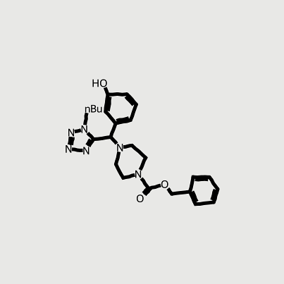 CCCCn1nnnc1C(c1cccc(O)c1)N1CCN(C(=O)OCc2ccccc2)CC1